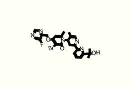 CC1=CN=C(c2cccc(C(C)(C)O)n2)CC1n1c(C)cc(OCc2ncncc2F)c(Br)c1=O